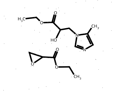 CCOC(=O)C(O)Cn1cncc1C.CCOC(=O)C1CO1